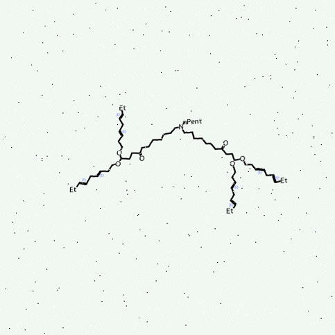 CC/C=C/C/C=C/CCOC(CCC(=O)CCCCCCCN(CCCCC)CCCCCCCC(=O)CCC(OCC/C=C/C/C=C/CC)OCC/C=C/C/C=C/CC)OCC/C=C/C/C=C/CC